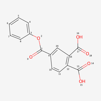 O=C(Oc1cc[c]cc1)c1ccc(C(=O)O)c(C(=O)O)c1